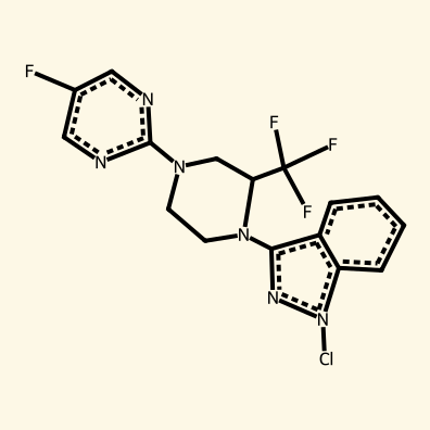 Fc1cnc(N2CCN(c3nn(Cl)c4ccccc34)C(C(F)(F)F)C2)nc1